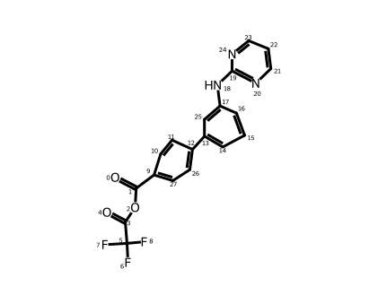 O=C(OC(=O)C(F)(F)F)c1ccc(-c2cccc(Nc3ncccn3)c2)cc1